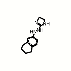 c1cc2c(cc1NNC1=NCCN1)CCCC2